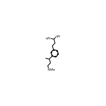 CCCC(CCC)CCc1cccc(C(C)CCNC)c1